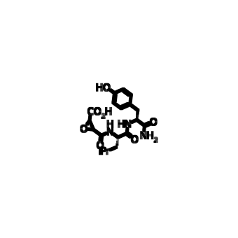 CC(C)C[C@H](NC(=O)C1OC1C(=O)O)C(=O)N[C@@H](Cc1ccc(O)cc1)C(N)=O